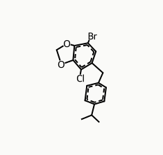 CC(C)c1ccc(Cc2cc(Br)c3c(c2Cl)OCO3)cc1